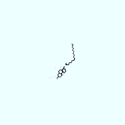 CCCCCCCCC/C=C\CCCCC(=O)OC[C@@]1(C)CCC[C@@]2(C)C1CCC1CC(C(C)C)CC[C@H]12